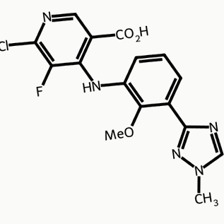 COc1c(Nc2c(C(=O)O)cnc(Cl)c2F)cccc1-c1ncn(C)n1